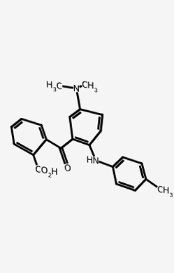 Cc1ccc(Nc2ccc(N(C)C)cc2C(=O)c2ccccc2C(=O)O)cc1